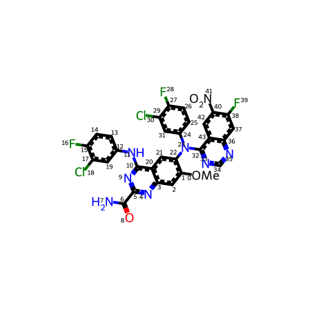 COc1cc2nc(C(N)=O)nc(Nc3ccc(F)c(Cl)c3)c2cc1N(c1ccc(F)c(Cl)c1)c1ncnc2cc(F)c([N+](=O)[O-])cc12